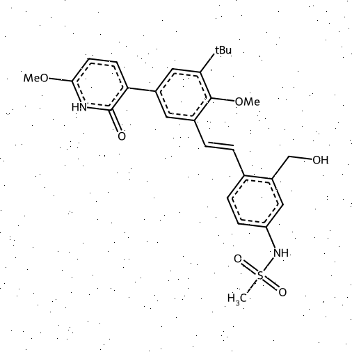 COc1ccc(-c2cc(/C=C/c3ccc(NS(C)(=O)=O)cc3CO)c(OC)c(C(C)(C)C)c2)c(=O)[nH]1